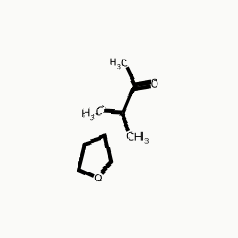 C1CCOC1.CC(=O)C(C)C